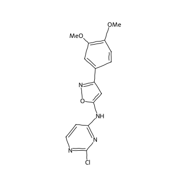 COc1ccc(-c2cc(Nc3ccnc(Cl)n3)on2)cc1OC